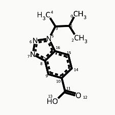 CC(C)C(C)n1nnc2cc(C(=O)O)ccc21